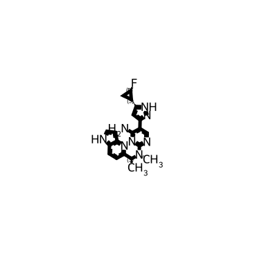 C[C@@H](c1ccc2[nH]ccc2n1)N(C)c1ncc(-c2cc([C@@H]3C[C@H]3F)[nH]n2)c(N)n1